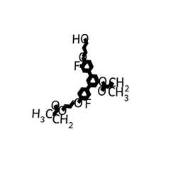 C=C(C)C(=O)OCCCOc1ccc(-c2cc(OC(=O)C(=C)C)cc(-c3ccc(OCCCO)c(F)c3)c2)cc1F